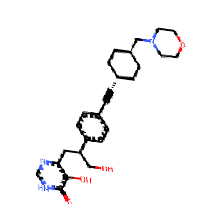 O=c1[nH]cnc(CC(CO)c2ccc(C#C[C@H]3CC[C@H](CN4CCOCC4)CC3)cc2)c1O